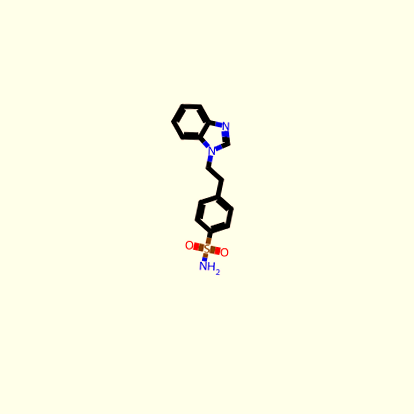 NS(=O)(=O)c1ccc(CCn2cnc3ccccc32)cc1